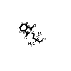 CC(C)(CF)CCN1C(=O)c2ccccc2C1=O